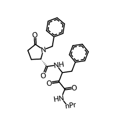 CCCNC(=O)C(=O)C(Cc1ccccc1)NC(=O)[C@@H]1CCC(=O)N1Cc1ccccc1